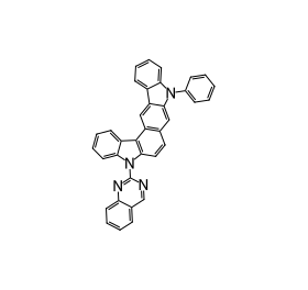 c1ccc(-n2c3ccccc3c3cc4c(ccc5c4c4ccccc4n5-c4ncc5ccccc5n4)cc32)cc1